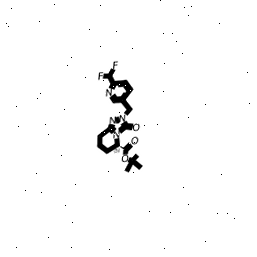 CC(C)(C)OC(=O)[C@@H]1CCCc2nn(Cc3ccc(C(F)F)nc3)c(=O)n21